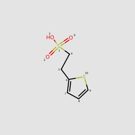 O=S(=O)(O)CCc1cccs1